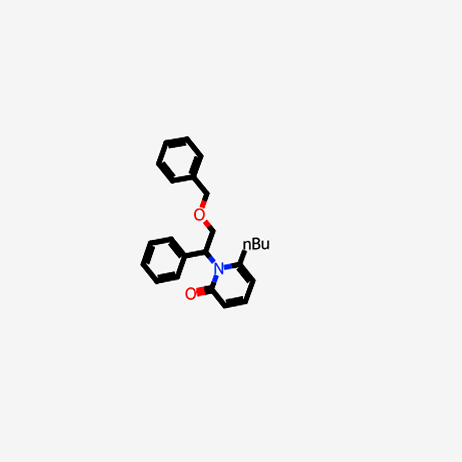 CCCCc1cccc(=O)n1C(COCc1ccccc1)c1ccccc1